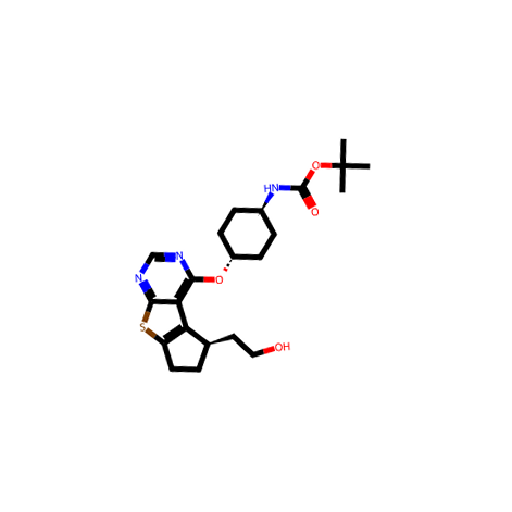 CC(C)(C)OC(=O)N[C@H]1CC[C@H](Oc2ncnc3sc4c(c23)[C@@H](CCO)CC4)CC1